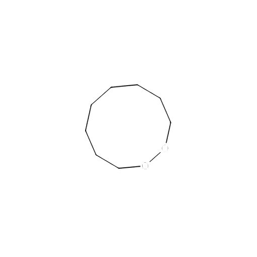 [C]1CCCCCCCOO1